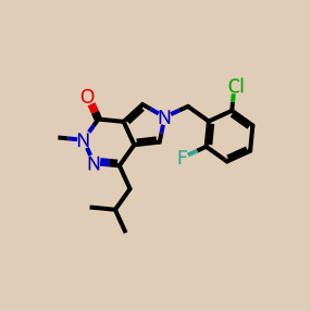 CC(C)Cc1nn(C)c(=O)c2cn(Cc3c(F)cccc3Cl)cc12